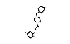 Cc1ccc(C(C)C)cc1OCC(=O)N1CCN(Cc2ccc(Cl)cc2)CC1